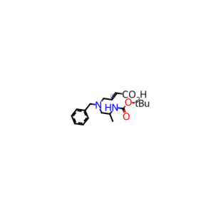 CC(CN(C/C=C/C(=O)O)Cc1ccccc1)NC(=O)OC(C)(C)C